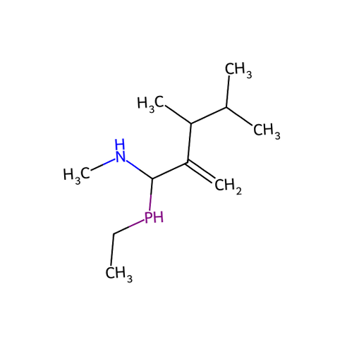 C=C(C(NC)PCC)C(C)C(C)C